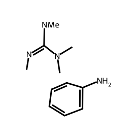 CN=C(NC)N(C)C.Nc1ccccc1